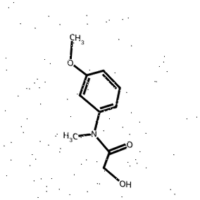 COc1cccc(N(C)C(=O)CO)c1